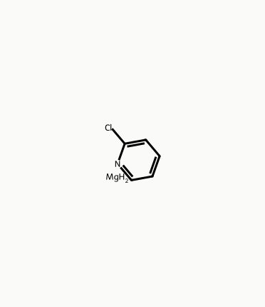 Clc1ccccn1.[MgH2]